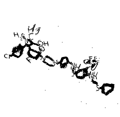 Cc1c(C(=O)O)c(-c2cc(F)cc(N3CCN(c4ccc(NSc5ccc(NCCSc6ccccc6)c(S(=O)(=O)C(F)(F)F)c5)cc4)CC3)c2F)c(-c2ccc(Cl)cc2)n1C